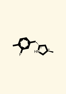 Cc1ccc(C[C@@H]2C[C@@H](C)CN2)cc1F